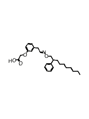 CCCCCCCCC(CON=CCc1cccc(OCC(=O)O)c1)c1ccccc1